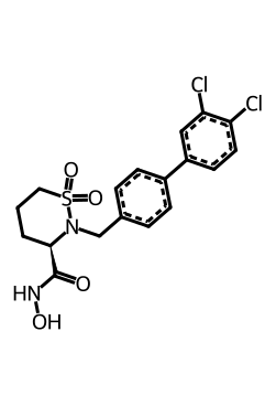 O=C(NO)[C@H]1CCCS(=O)(=O)N1Cc1ccc(-c2ccc(Cl)c(Cl)c2)cc1